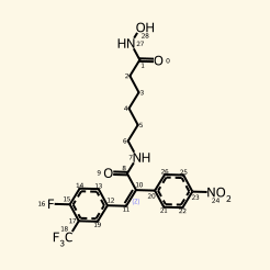 O=C(CCCCCNC(=O)/C(=C\c1ccc(F)c(C(F)(F)F)c1)c1ccc([N+](=O)[O-])cc1)NO